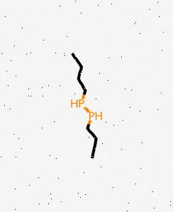 CCCCPPCCC